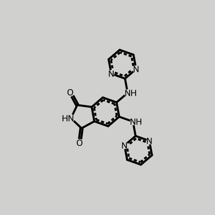 O=C1NC(=O)c2cc(Nc3ncccn3)c(Nc3ncccn3)cc21